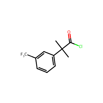 CC(C)(C(=O)Cl)c1cccc(C(F)(F)F)c1